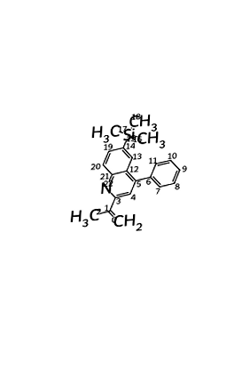 C=C(C)c1cc(-c2ccccc2)c2cc([Si](C)(C)C)ccc2n1